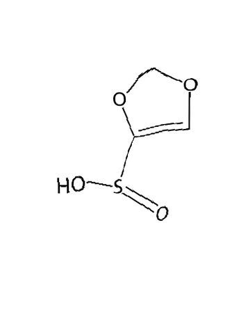 O=S(O)C1=COCO1